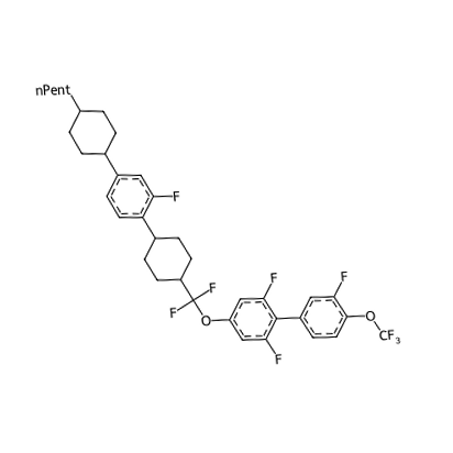 CCCCCC1CCC(c2ccc(C3CCC(C(F)(F)Oc4cc(F)c(-c5ccc(OC(F)(F)F)c(F)c5)c(F)c4)CC3)c(F)c2)CC1